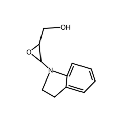 OCC1OC1N1CCc2ccccc21